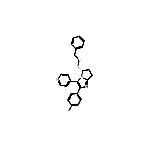 Fc1ccc(-c2nc3n(c2-c2ccncc2)[C@H](COCc2ccccc2)CC3)cc1